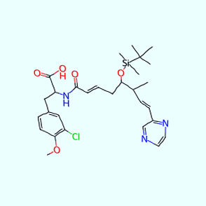 COc1ccc(CC(NC(=O)/C=C/CC(O[Si](C)(C)C(C)(C)C)C(C)/C=C/c2cnccn2)C(=O)O)cc1Cl